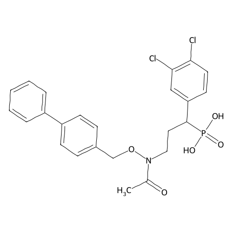 CC(=O)N(CCC(c1ccc(Cl)c(Cl)c1)P(=O)(O)O)OCc1ccc(-c2ccccc2)cc1